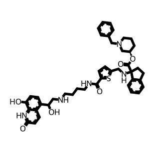 O=C(NCCCCNCC(O)c1ccc(O)c2[nH]c(=O)ccc12)c1ccc(CNC2(C(=O)O[C@@H]3CCCN(Cc4ccccc4)C3)CCc3ccccc32)s1